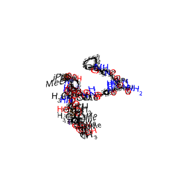 CCN(C(=O)CNC(=O)OCc1ccc(NC(=O)[C@H](CCCNC(N)=O)NC(=O)[C@@H](NC(=O)CCCC(=O)N2CCC(C(=O)NC3CCCCCCCCCC3)CC2)C(C)C)cc1)C1COC(OC2C(O[C@H]3C#C/C=C\C#C[C@]4(O)CC(=O)C(NC(=O)OC)C3/C4=C\CSSC(C)C)OC(C)C(NOC3CC(O)C(SC(=O)c4c(C)c(I)c(OC5OC(C)C(O)C(OC)C5O)c(OC)c4OC)C(C)O3)C2O)CC1OC